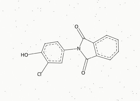 O=C1c2ccccc2C(=O)N1c1ccc(O)c(Cl)c1